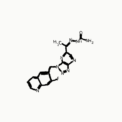 C/C(=N/NC(N)=O)c1cnc2nnn(Cc3cc4cccnc4cc3F)c2n1